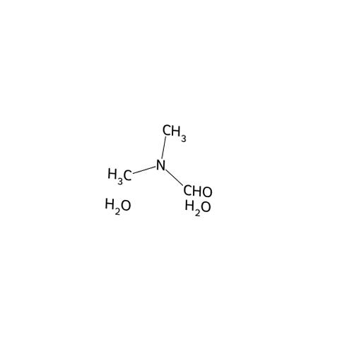 CN(C)C=O.O.O